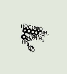 CN(C)[C@@H]1C(O)=C(C(N)=O)C(=O)[C@@]2(O)C(O)=C3C(=O)c4c(O)ccc(-c5cccc(C(=O)NCCN6CCOCC6)c5)c4C[C@H]3C[C@@H]12